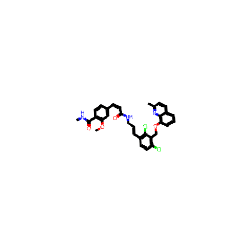 CNC(=O)c1ccc(/C=C\C(=O)NCC=Cc2ccc(Cl)c(COc3cccc4ccc(C)nc34)c2Cl)cc1OC